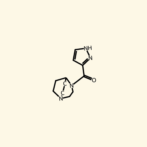 O=C(c1cc[nH]n1)N1CCN2CCC1CC2